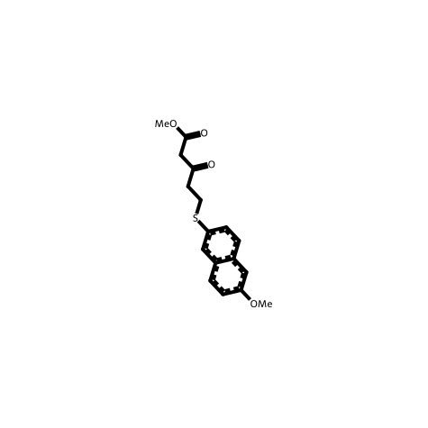 COC(=O)CC(=O)CCSc1ccc2cc(OC)ccc2c1